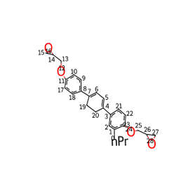 CCCc1cc(C2=CC=C(c3ccc(OCC4CO4)cc3)CC2)ccc1OCC1CO1